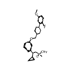 COc1ccc(F)c(C2CCC(COc3cccc(C(CP(C)(=O)O)C4CC4)c3)CC2)c1